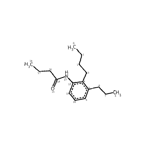 CCCCc1c(CCC)cccc1NC(=O)CCC